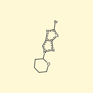 Brc1nc2cn(C3CCCCO3)nc2s1